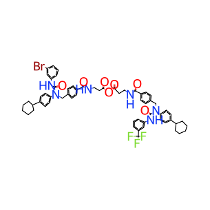 O=C(CCNC(=O)c1ccc(CN(C(=O)Nc2cccc(Br)c2)c2ccc(C3CCCCC3)cc2)cc1)OC(=O)CCNC(=O)c1ccc(CN(C(=O)Nc2cccc(C(F)(F)F)c2)c2ccc(C3CCCCC3)cc2)cc1